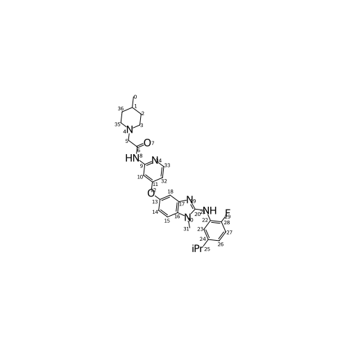 CC1CCN(CC(=O)Nc2cc(Oc3ccc4c(c3)nc(Nc3cc(C(C)C)ccc3F)n4C)ccn2)CC1